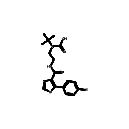 CC(C)(C)N(CCNC(=O)c1ncoc1-c1ccc(Cl)cc1)C(=O)O